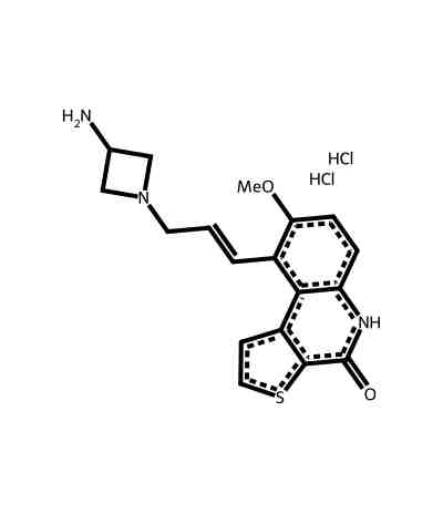 COc1ccc2[nH]c(=O)c3sccc3c2c1/C=C/CN1CC(N)C1.Cl.Cl